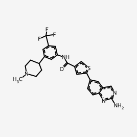 CN1CCC(c2cc(NC(=O)c3csc(-c4ccc5nc(N)ncc5c4)c3)cc(C(F)(F)F)c2)CC1